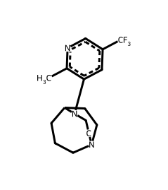 Cc1ncc(C(F)(F)F)cc1N1CCN2CCCC1CC2